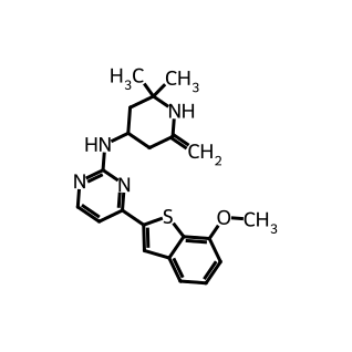 C=C1CC(Nc2nccc(-c3cc4cccc(OC)c4s3)n2)CC(C)(C)N1